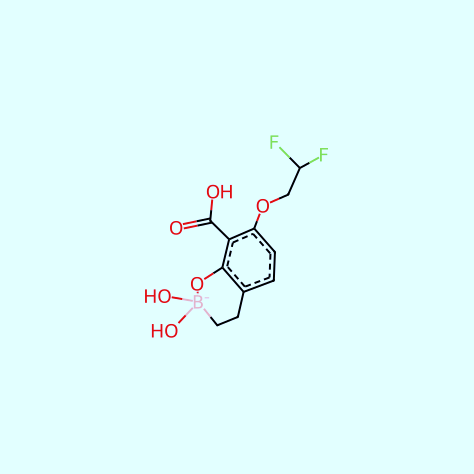 O=C(O)c1c(OCC(F)F)ccc2c1O[B-](O)(O)CC2